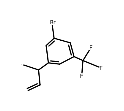 [CH2]C(C=C)c1cc(Br)cc(C(F)(F)F)c1